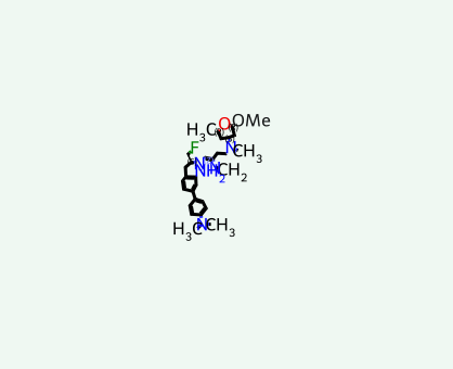 C=N/C(=C\N(N)[C@H](CF)Cc1ccc(-c2ccc(N(C)C)cc2)cc1)CCN(C)[C@@H]1C[C@H](OC)O[C@H](C)C1